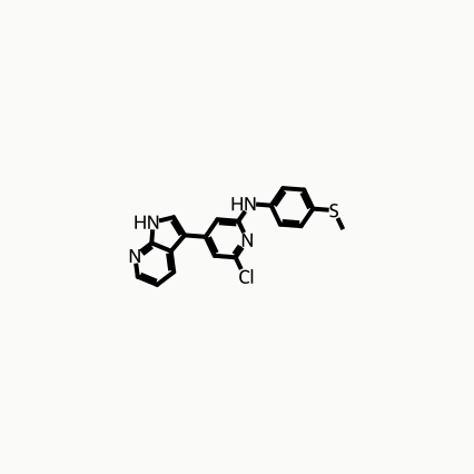 CSc1ccc(Nc2cc(-c3c[nH]c4ncccc34)cc(Cl)n2)cc1